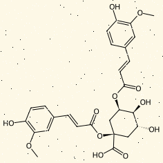 COc1cc(/C=C/C(=O)O[C@@H]2C[C@@](OC(=O)/C=C/c3ccc(O)c(OC)c3)(C(=O)O)C[C@@H](O)[C@@H]2O)ccc1O